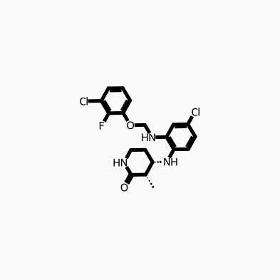 C[C@@H]1C(=O)NCC[C@@H]1Nc1ccc(Cl)cc1NCOc1cccc(Cl)c1F